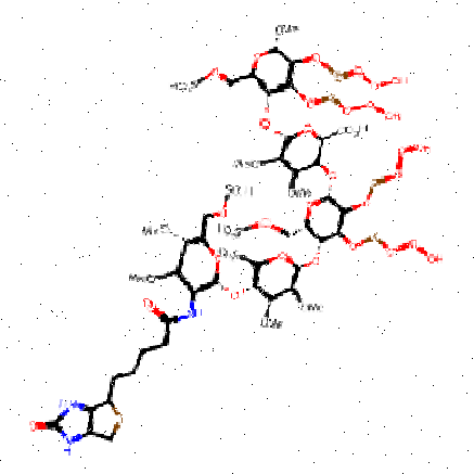 COC1C(OC)[C@H](O[C@H]2O[C@@H](COS(=O)(=O)O)[C@@H](O[C@@H]3OC(C(=O)O)[C@@H](O[C@H]4OC(COS(=O)(=O)O)[C@@H](OC)[C@H](OC)C4NC(=O)CCCCC4SCC5NC(=O)NC54)[C@H](OC)C3OC)C(OSOOO)C2OSOOO)[C@H](C(=O)O)O[C@H]1O[C@@H]1C(COS(=O)(=O)O)O[C@H](OC)C(OSOOO)[C@H]1OSOOO